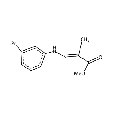 COC(=O)/C(C)=N/Nc1cccc(C(C)C)c1